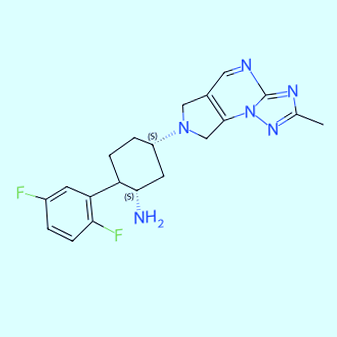 Cc1nc2ncc3c(n2n1)CN([C@H]1CCC(c2cc(F)ccc2F)[C@@H](N)C1)C3